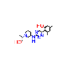 Cc1cc(C)c(-c2cnc(NC3CCCN(C(C)CO)C3)nn2)c(O)c1